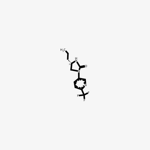 CCC[C@H]1CN(c2ccc(C(F)(F)F)nc2)C(=O)N1